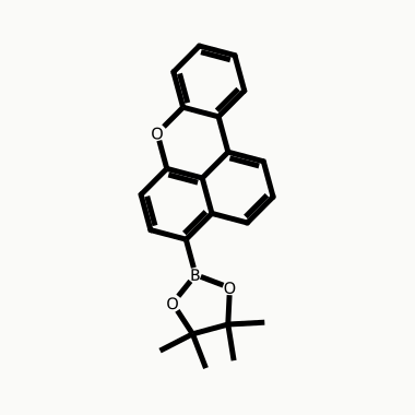 CC1(C)OB(c2ccc3c4c(cccc24)-c2ccccc2O3)OC1(C)C